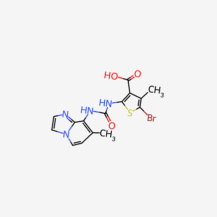 Cc1ccn2ccnc2c1NC(=O)Nc1sc(Br)c(C)c1C(=O)O